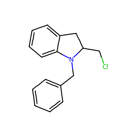 ClCC1Cc2ccccc2N1Cc1ccccc1